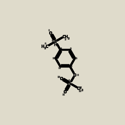 C[SH](C)(=O)c1ccc(OS(=O)(=O)C(F)(F)F)cc1